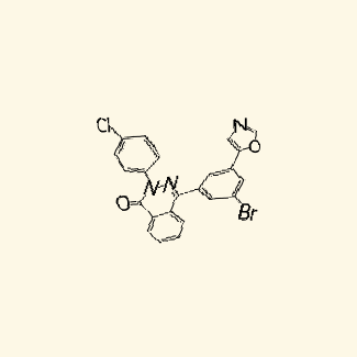 O=c1c2ccccc2c(-c2cc(Br)cc(-c3cnco3)c2)nn1-c1ccc(Cl)cc1